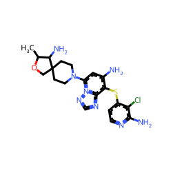 CC1OCC2(CCN(c3cc(N)c(Sc4ccnc(N)c4Cl)c4ncnn34)CC2)C1N